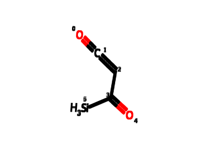 O=C=CC(=O)[SiH3]